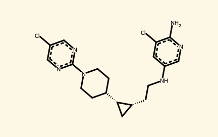 Nc1ncc(NCC[C@@H]2C[C@@H]2C2CCN(c3ncc(Cl)cn3)CC2)cc1Cl